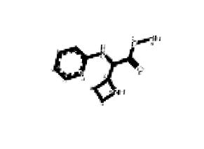 CC(C)(C)OC(=O)C(Nc1cc[c]cn1)C1CCN1